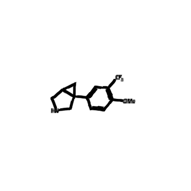 COc1ccc(C23CNCC2C3)cc1C(F)(F)F